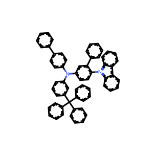 c1ccc(-c2ccc(N(c3cccc(C(c4ccccc4)(c4ccccc4)c4ccccc4)c3)c3ccc(-n4c5ccccc5c5ccccc54)c(-c4ccccc4)c3)cc2)cc1